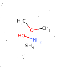 COC.NO.[SiH4]